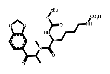 CC(C(=O)c1ccc2c(c1)OCO2)N(C)C(=O)[C@H](CCCCNC(=O)O)NC(=O)OC(C)(C)C